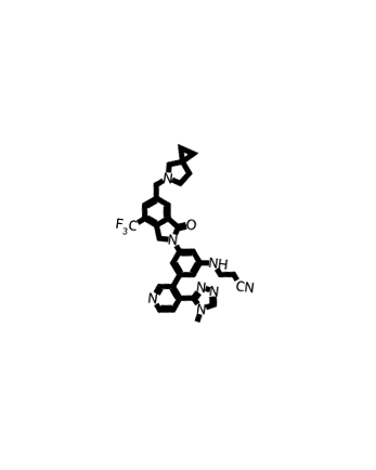 Cn1cnnc1-c1ccncc1-c1cc(NCCC#N)cc(N2Cc3c(cc(CN4CCC5(CC5)C4)cc3C(F)(F)F)C2=O)c1